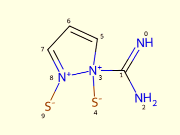 N=C(N)[N+]1([S-])C=CC=[N+]1[S-]